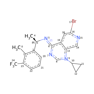 Cc1c([C@@H](C)/N=c2\ncn(C3CC3)c3cnc(Br)cc23)cccc1C(F)(F)F